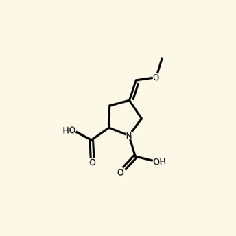 COC=C1CC(C(=O)O)N(C(=O)O)C1